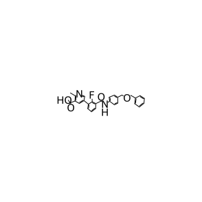 Cc1ncc(-c2cccc(C(=O)Nc3ccc(COCc4ccccc4)cc3)c2F)cc1C(=O)O